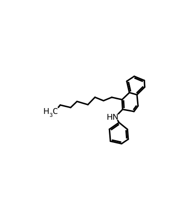 CCCCCCCCc1c(Nc2ccccc2)ccc2ccccc12